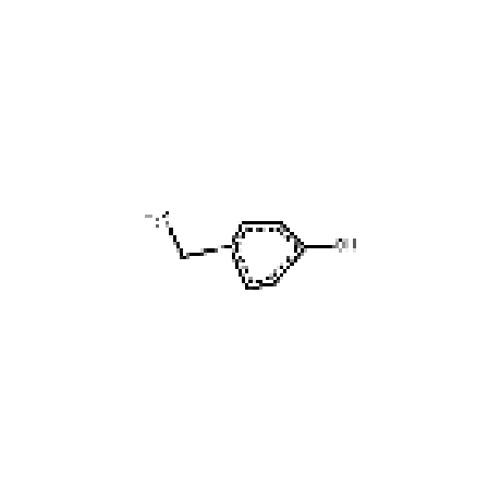 Oc1ccc(CP)cc1